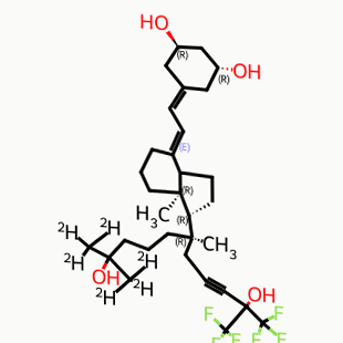 [2H]C([2H])([2H])C(O)(CCC[C@](C)(CC#CC(O)(C(F)(F)F)C(F)(F)F)[C@H]1CCC2/C(=C/C=C3C[C@@H](O)C[C@H](O)C3)CCC[C@@]21C)C([2H])([2H])[2H]